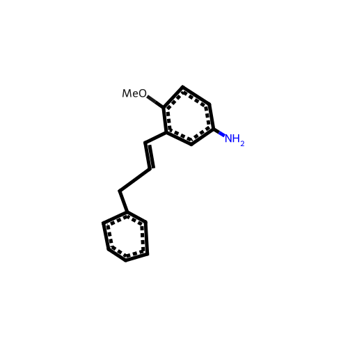 COc1ccc(N)cc1C=CCc1ccccc1